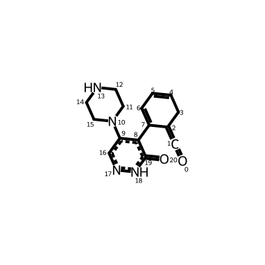 O=C=C1CC=CC=C1c1c(N2CCNCC2)cn[nH]c1=O